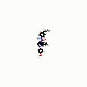 CCOc1ccc(N2CC3CN(C(=O)Nc4ccc(OC)cc4)CC2C(C)(C)C3)cc1